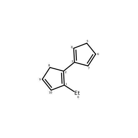 CCC1=C(C2=[C]CC=C2)CC=C1